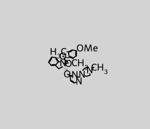 COc1cc(C)c(S(=O)(=O)N2c3ccccc3C[C@H]2COc2ccnc(N3CCN(C)CC3)n2)c(C)c1